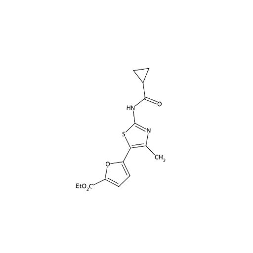 CCOC(=O)c1ccc(-c2sc(NC(=O)C3CC3)nc2C)o1